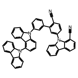 N#Cc1ccc(-n2c3ccccc3c3cccc(C#N)c32)cc1-c1cccc(-n2c3ccccc3c3c(-n4c5ccccc5c5ccccc54)cccc32)c1